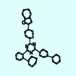 c1ccc(-c2ccc(-c3nc(-c4ccc(-c5cc6ccccc6o5)cc4)nc(-c4ccccc4-c4ccccc4)n3)cc2)cc1